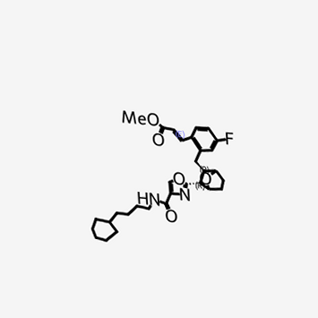 COC(=O)/C=C/c1ccc(F)cc1C[C@H]1C2CCC(O2)[C@@H]1c1nc(C(=O)NCCCCC2CCCCC2)co1